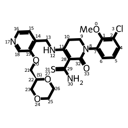 COc1c(Cl)cccc1N1CCC(NCc2ccncc2OC[C@@H]2COCCO2)=C(C(N)=S)C1=O